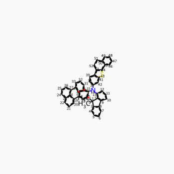 CC1(C)c2ccccc2-c2cccc(N(c3ccc(-c4cccc5cccc(-c6ccccc6)c45)cc3)c3ccc4c(c3)sc3c5ccccc5ccc43)c21